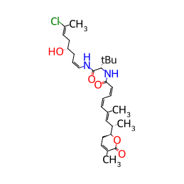 CC1=CC[C@@H]([C@@H](C)/C=C(C)/C=C\C=C/C(=O)N[C@H](C(=O)N/C=C\C[C@H](O)C/C=C(\C)Cl)C(C)(C)C)OC1=O